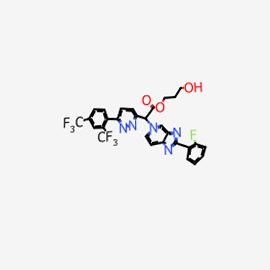 O=C(OCCCO)C(c1ccc(-c2ccc(C(F)(F)F)cc2C(F)(F)F)nn1)n1ccc2nc(-c3ccccc3F)nc-2c1